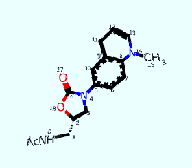 CC(=O)NC[C@H]1CN(c2ccc3c(c2)CC=CN3C)C(=O)O1